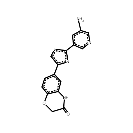 Nc1cncc(-c2nc(-c3ccc4c(c3)NC(=O)CO4)cs2)c1